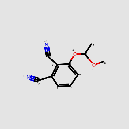 COC(C)Oc1cccc(C#N)c1C#N